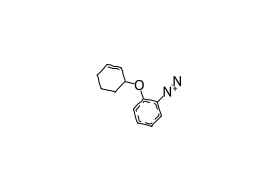 N#[N+]c1ccccc1OC1C=CCCC1